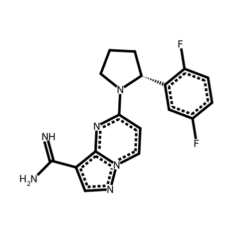 N=C(N)c1cnn2ccc(N3CCC[C@@H]3c3cc(F)ccc3F)nc12